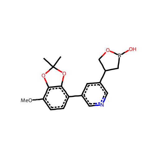 COc1ccc(-c2cncc(C3COB(O)C3)c2)c2c1OC(C)(C)O2